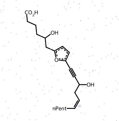 CCCCC/C=C\CC(O)C#Cc1ccc(CC(O)CCCC(=O)O)o1